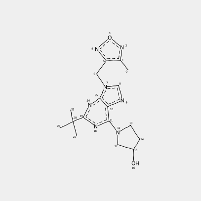 Cc1nonc1Cn1cnc2c(N3CCC(O)C3)nc(C(C)(C)C)nc21